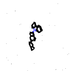 c1ccc2cc(-c3ccc4cc(-n5c6ccccc6c6ccccc65)ccc4c3)ccc2c1